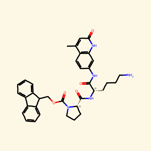 Cc1cc(=O)[nH]c2cc(NC(=O)[C@H](CCCCN)NC(=O)[C@@H]3CCCN3C(=O)OCC3c4ccccc4-c4ccccc43)ccc12